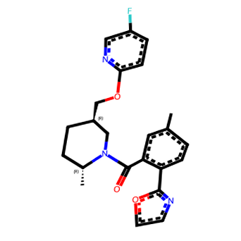 Cc1ccc(-c2ncco2)c(C(=O)N2C[C@H](COc3ccc(F)cn3)CC[C@H]2C)c1